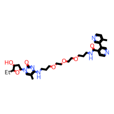 CCC1OC(n2cc(C)c(NCCCOCCOCCOCCCNC(=O)c3ccncc3-c3cnccc3C)nc2=O)CC1O